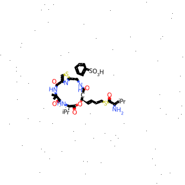 CC(C)C(N)C(=O)SCC/C=C/[C@@H]1CC(=O)NCc2nc(cs2)C(=O)NC(C)(C)C(=O)N[C@@H](C(C)C)C(=O)O1.O=S(=O)(O)c1ccccc1